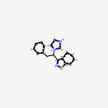 c1ccc(CC(c2nsc3ccccc23)n2ccnc2)cc1